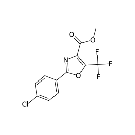 COC(=O)c1nc(-c2ccc(Cl)cc2)oc1C(F)(F)F